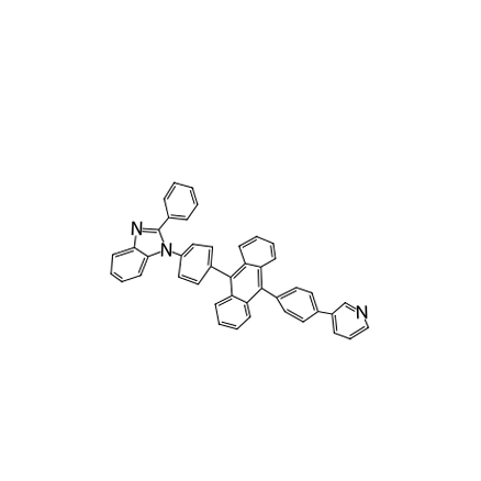 c1ccc(-c2nc3ccccc3n2-c2ccc(-c3c4ccccc4c(-c4ccc(-c5cccnc5)cc4)c4ccccc34)cc2)cc1